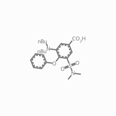 CCCCN(CCCC)c1cc(C(=O)O)cc(S(=O)(=O)N(C)C)c1Oc1ccccc1